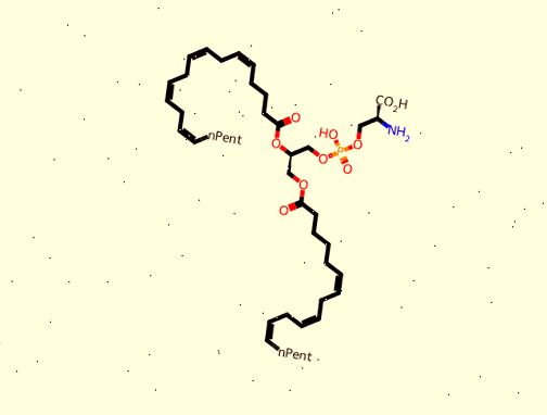 CCCCC/C=C\C/C=C\C/C=C\C/C=C\CCCC(=O)O[C@H](COC(=O)CCCC/C=C\C/C=C\C/C=C\CCCCC)COP(=O)(O)OC[C@H](N)C(=O)O